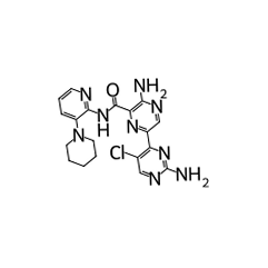 Nc1ncc(Cl)c(-c2cnc(N)c(C(=O)Nc3ncccc3N3CCCCC3)n2)n1